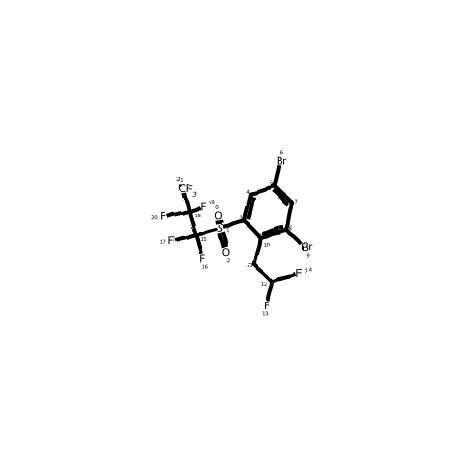 O=S(=O)(c1cc(Br)[c]c(Br)c1CC(F)F)C(F)(F)C(F)(F)C(F)(F)F